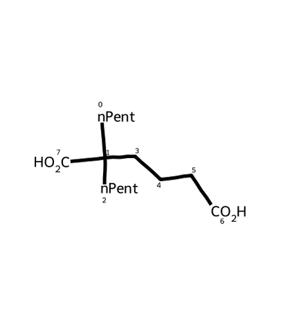 CCCCCC(CCCCC)(CCCC(=O)O)C(=O)O